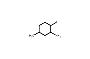 CC1CCC(I)C(N)C1